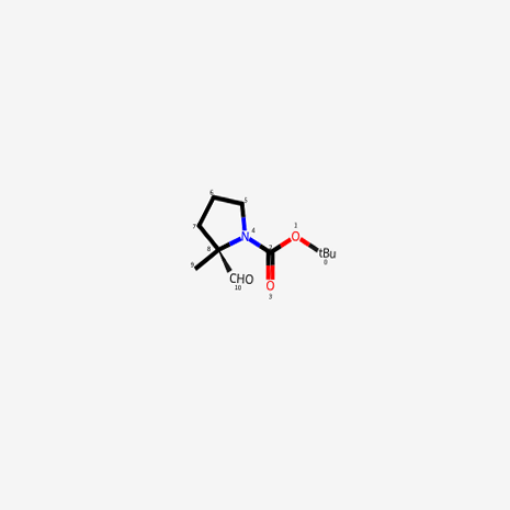 CC(C)(C)OC(=O)N1CCC[C@]1(C)C=O